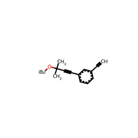 C#Cc1cccc(C#CC(C)(C)OC(C)CC)c1